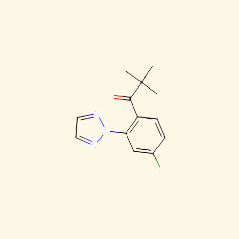 CC(C)(C)C(=O)c1ccc(Cl)cc1-n1nccn1